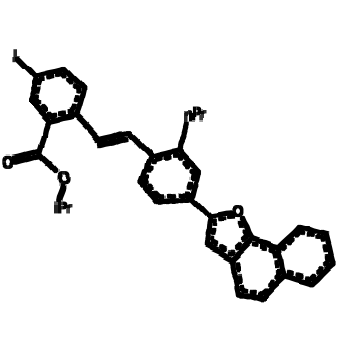 CCCc1cc(-c2cc3ccc4ccccc4c3o2)ccc1C=Cc1ccc(I)cc1C(=O)OC(C)C